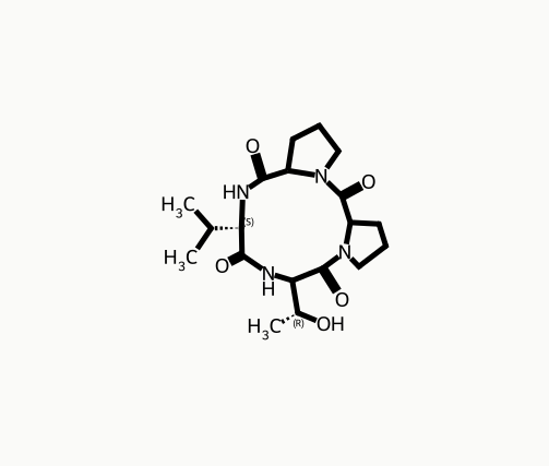 CC(C)[C@@H]1NC(=O)C2CCCN2C(=O)C2CCCN2C(=O)C([C@@H](C)O)NC1=O